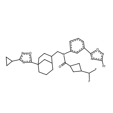 CCc1noc(-c2cccc(N(CC3CCC4(c5nc(C6CC6)no5)CCCC3C4)C(=O)C3CC(C(F)F)C3)c2)n1